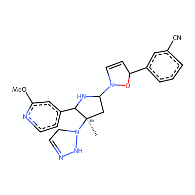 COc1cc(C2NC(N3C=CC(c4cccc(C#N)c4)O3)C[C@@]2(C)N2CC=NN2)ccn1